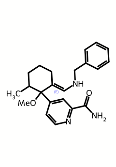 COC1(c2ccnc(C(N)=O)c2)/C(=C/NCc2ccccc2)CCCC1C